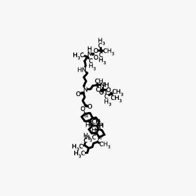 CCC(CCC(C)[C@H]1CC[C@H]2[C@@H]3CC=C4C[C@@H](OC(=O)CCC(=O)N(CCCCNCCC(C)(C)NC(=O)OC(C)(C)C)CCC(C)(C)NC(=O)OC(C)(C)C)CC[C@]4(C)[C@H]3CC[C@]12C)C(C)C